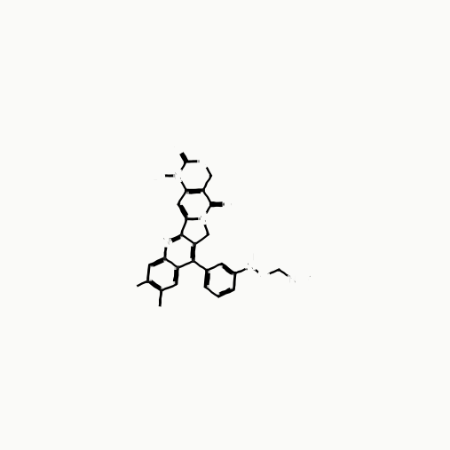 CCN1C(=O)OCc2c1cc1n(c2=O)Cc2c-1nc1cc(F)c(C)cc1c2-c1cccc(NOCNC(C)=O)c1